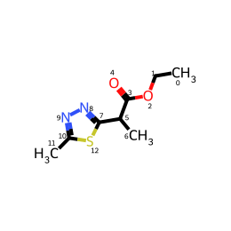 CCOC(=O)C(C)c1nnc(C)s1